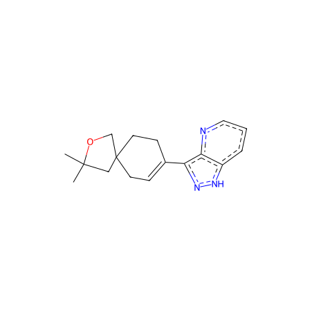 CC1(C)CC2(CC=C(c3n[nH]c4cccnc34)CC2)CO1